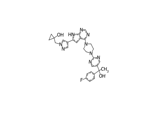 CC(O)(c1ccc(F)cc1)c1cnc(N2CCN(c3ncnc4[nH]c(-c5cnn(CC6(O)CC6)c5)cc34)CC2)nc1